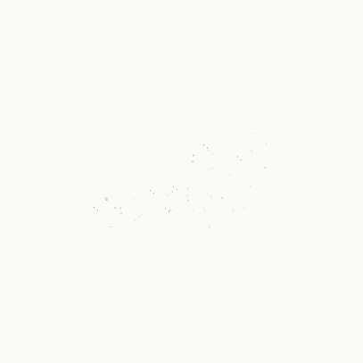 CCN(Cc1cc(-n2c3nc(Nc4ccc5c(c4)CNCC5)ncc3c(=O)n2C(C)C)ccn1)C(C)C